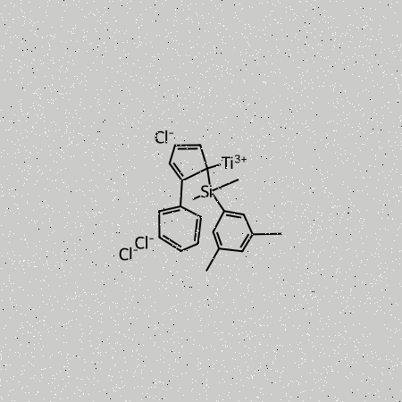 Cc1cc(C)cc([Si](C)(C)[C]2([Ti+3])C=CC=C2c2ccccc2)c1.[Cl-].[Cl-].[Cl-]